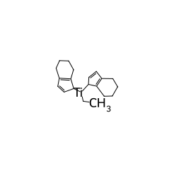 C[CH2][Ti]([CH]1C=CC2=C1CCCC2)[CH]1C=CC2=C1CCCC2